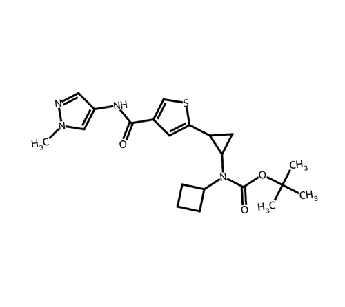 Cn1cc(NC(=O)c2csc(C3CC3N(C(=O)OC(C)(C)C)C3CCC3)c2)cn1